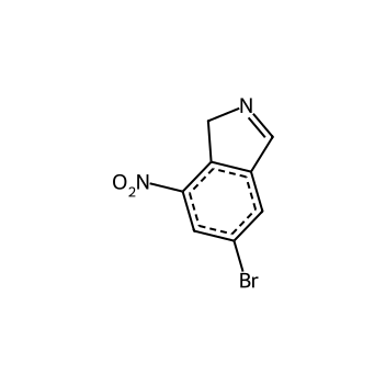 O=[N+]([O-])c1cc(Br)cc2c1CN=C2